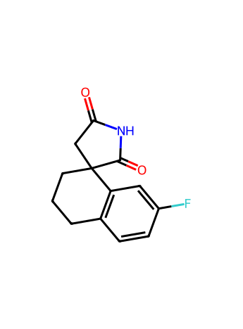 O=C1CC2(CCCc3ccc(F)cc32)C(=O)N1